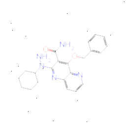 NC(=O)c1c(N(N)C2CCCCC2)nc2cccnc2c1OCc1ccccc1